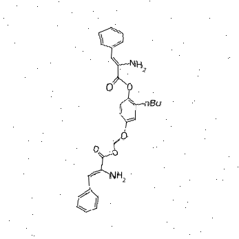 CCCCc1cc(OCOC(=O)C(N)=Cc2ccccc2)ccc1OC(=O)C(N)=Cc1ccccc1